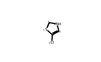 ClC1=CN[C]S1